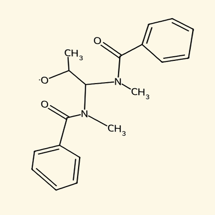 CC([O])C(N(C)C(=O)c1ccccc1)N(C)C(=O)c1ccccc1